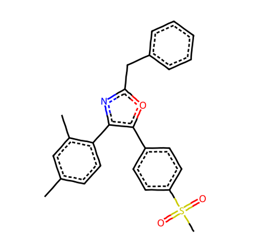 Cc1ccc(-c2nc(Cc3ccccc3)oc2-c2ccc(S(C)(=O)=O)cc2)c(C)c1